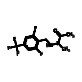 CC(=O)N(C)NCc1c(F)cc(C(F)(F)F)cc1F